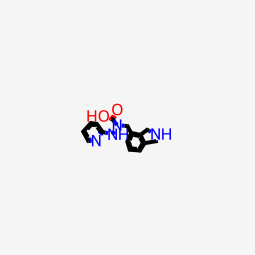 O=C(O)N(Cc1cccc2c1CNC2)Nc1ccccn1